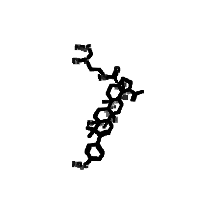 C=C(C)[C@@H]1CC[C@]2(C(=O)NCCN(CC)CC(=O)O)CC[C@]3(C)[C@H](CC[C@@H]4[C@@]5(C)CC=C(c6ccc(C(=O)O)cc6)C(C)(C)[C@@H]5CC[C@]43C)[C@@H]12